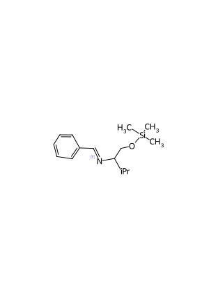 CC(C)C(CO[Si](C)(C)C)/N=C/c1ccccc1